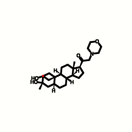 C[C@@]1(O)CC[C@@]2(CCO)[C@@H](CC[C@H]3[C@@H]4CC[C@H](C(=O)CN5CCOCC5)[C@@]4(C)CC[C@@H]32)C1